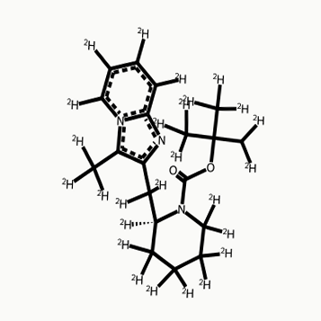 [2H]c1c([2H])c([2H])n2c(C([2H])([2H])[2H])c(C([2H])([2H])[C@@]3([2H])N(C(=O)OC(C([2H])[2H])(C([2H])([2H])[2H])C([2H])([2H])[2H])C([2H])([2H])C([2H])([2H])C([2H])([2H])C3([2H])[2H])nc2c1[2H]